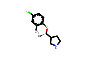 CC[C@H](Oc1ccc(Cl)cc1C(F)(F)F)C1CCNC1